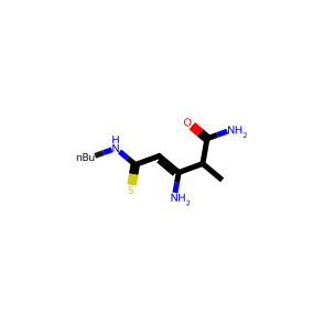 CCCCNC(=S)/C=C(\N)C(C)C(N)=O